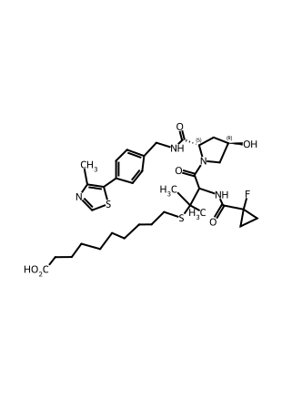 Cc1ncsc1-c1ccc(CNC(=O)[C@@H]2C[C@@H](O)CN2C(=O)C(NC(=O)C2(F)CC2)C(C)(C)SCCCCCCCCCC(=O)O)cc1